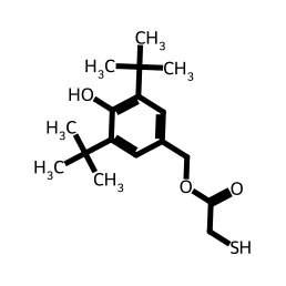 CC(C)(C)c1cc(COC(=O)CS)cc(C(C)(C)C)c1O